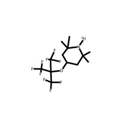 [2H]N1C(C)(C)CC(OC(C(F)(F)F)(C(F)(F)F)C(F)(F)F)CC1(C)C